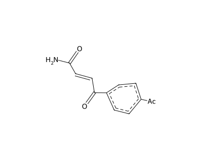 CC(=O)c1ccc(C(=O)/C=C/C(N)=O)cc1